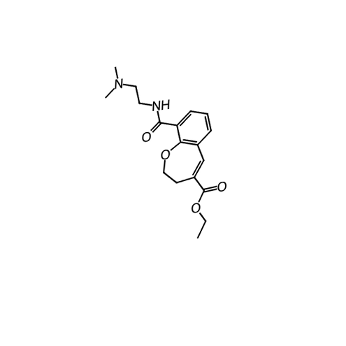 CCOC(=O)C1=Cc2cccc(C(=O)NCCN(C)C)c2OCC1